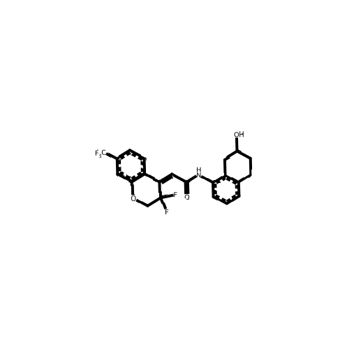 O=C(/C=C1/c2ccc(C(F)(F)F)cc2OCC1(F)F)Nc1cccc2c1CC(O)CC2